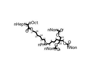 CCCCCCCCCC(=O)OCC(CCCCN(CCC)CCCCCCOC(=O)C(CCCCCCC)CCCCCCCC)(COC(=O)CCCCCCCCC)COC(=O)CCCCCCCCC